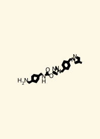 Cc1cnn(Cc2ccc(Cn3cc(OC(=O)NCc4ccc(CN)cc4)nn3)cc2)c1